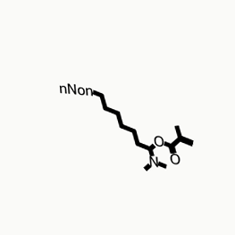 C=C(C)C(=O)OC(CCCCCCCCCCCCCCC)N(C)C